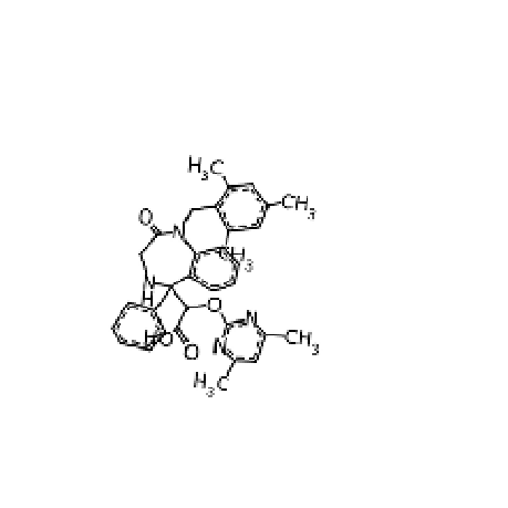 Cc1cc(C)c(CN2C(=O)CNC(c3ccccc3)(C(Oc3nc(C)cc(C)n3)C(=O)O)c3ccccc32)c(C)c1